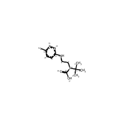 CC(C)(C)N(CCNc1ccc(I)nn1)C(=O)O